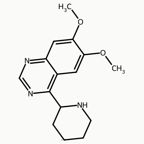 COc1cc2ncnc(C3C[CH]CCN3)c2cc1OC